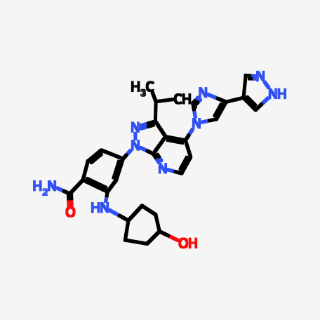 CC(C)c1nn(-c2ccc(C(N)=O)c(NC3CCC(O)CC3)c2)c2nccc(-n3cnc(-c4cn[nH]c4)c3)c12